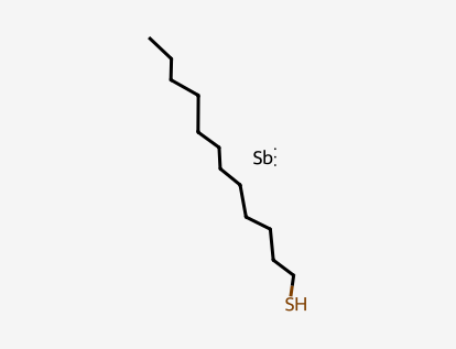 CCCCCCCCCCCCS.[Sb]